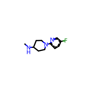 CNC1CCN(c2ccc(F)cn2)CC1